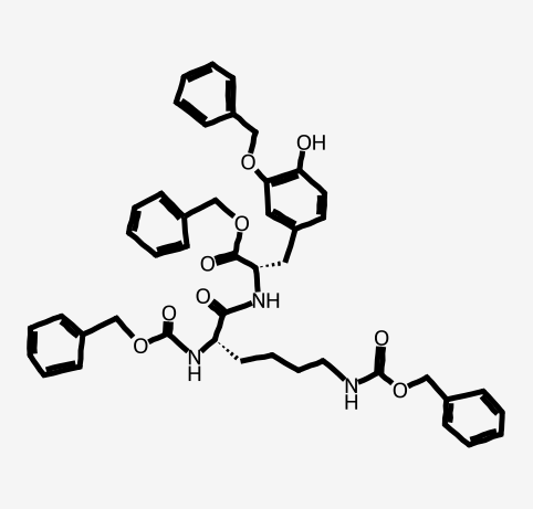 O=C(NCCCC[C@H](NC(=O)OCc1ccccc1)C(=O)N[C@@H](Cc1ccc(O)c(OCc2ccccc2)c1)C(=O)OCc1ccccc1)OCc1ccccc1